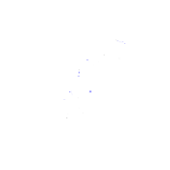 FC(F)(F)c1ccccc1-c1nc(Nc2n[nH]c3ccccc23)cc(-c2ccncc2)n1